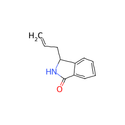 C=CCC1NC(=O)c2ccccc21